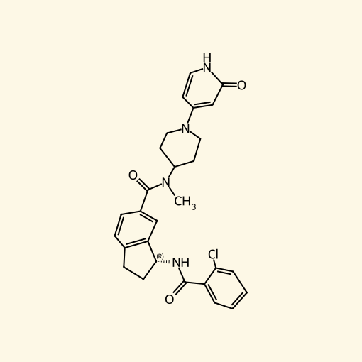 CN(C(=O)c1ccc2c(c1)[C@H](NC(=O)c1ccccc1Cl)CC2)C1CCN(c2cc[nH]c(=O)c2)CC1